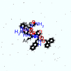 CC(=O)CC[C@H](NC(=O)C1(NC(=O)[C@H](Cc2ccc3ccccc3c2)NC(=O)OCC2c3ccccc3-c3ccccc32)CCOCC1)C(=O)N[C@@H](CC(N)=O)C(=O)N[C@@H](Cc1cccnc1)C(=O)N(C)CC(N)=O